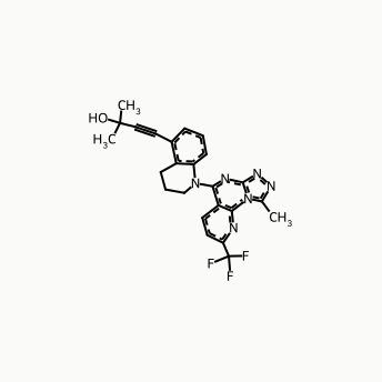 Cc1nnc2nc(N3CCCc4c(C#CC(C)(C)O)cccc43)c3ccc(C(F)(F)F)nc3n12